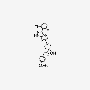 COc1ccc(CNC2(CO)CCN(c3cnc4c(-c5c(F)cccc5Cl)n[nH]c4n3)CC2)cc1